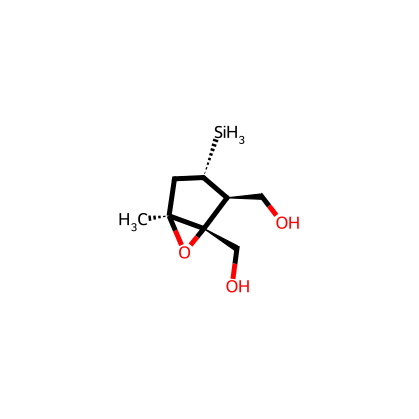 C[C@]12C[C@H]([SiH3])[C@@H](CO)[C@]1(CO)O2